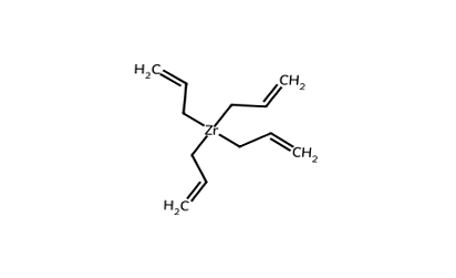 C=C[CH2][Zr]([CH2]C=C)([CH2]C=C)[CH2]C=C